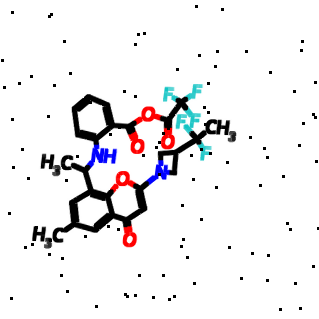 Cc1cc(C(C)Nc2ccccc2C(=O)OC(=O)C(F)(F)F)c2oc(N3CC(C(C)(F)F)C3)cc(=O)c2c1